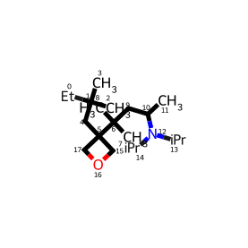 CCC(C)(C)CC1(C(C)(C)CC(C)N(C(C)C)C(C)C)COC1